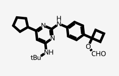 CC(C)(C)Nc1cc(C2CCCC2)nc(Nc2ccc(C3(OC=O)CCC3)cc2)n1